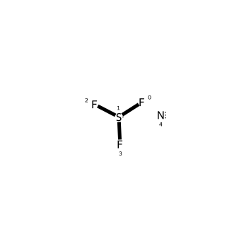 F[S](F)F.[N]